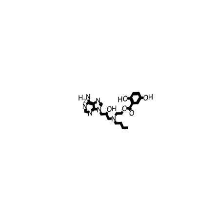 CCCCN(CCOC(=O)c1cc(O)ccc1O)CC(O)Cn1cnc2c(N)ncnc21